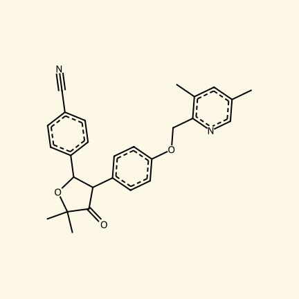 Cc1cnc(COc2ccc(C3C(=O)C(C)(C)OC3c3ccc(C#N)cc3)cc2)c(C)c1